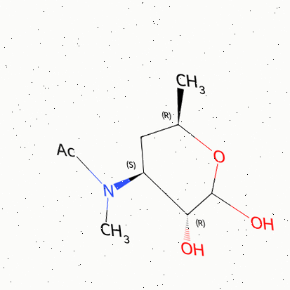 CC(=O)N(C)[C@H]1C[C@@H](C)OC(O)[C@@H]1O